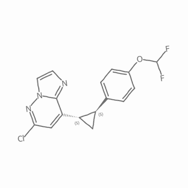 FC(F)Oc1ccc([C@H]2C[C@@H]2c2cc(Cl)nn3ccnc23)cc1